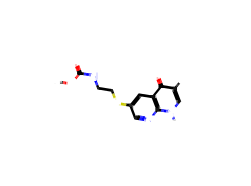 CCn1cc(C(=O)O)c(=O)c2cc(SCCNC(=O)OC(C)(C)C)cnc21